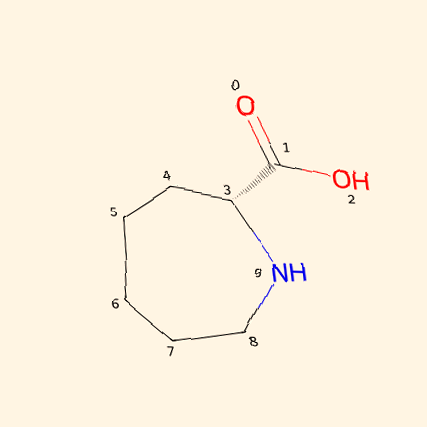 O=C(O)[C@H]1CCCCCN1